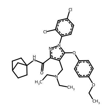 CCOc1ccc(Oc2c(CN(CC)CC)c(C(=O)NC34CCC(CC3)C4)nn2-c2ccc(Cl)cc2Cl)cc1